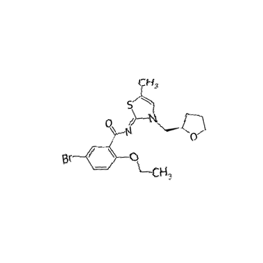 CCOc1ccc(Br)cc1C(=O)N=c1sc(C)cn1C[C@H]1CCCO1